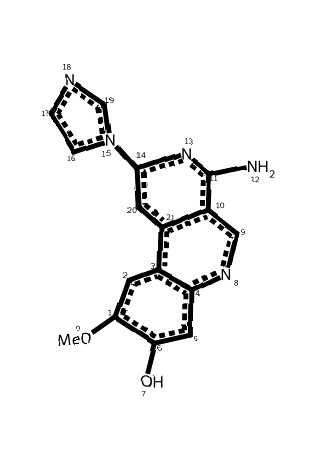 COc1cc2c(cc1O)ncc1c(N)nc(-n3ccnc3)cc12